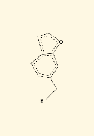 BrCc1ccc2ccoc2c1